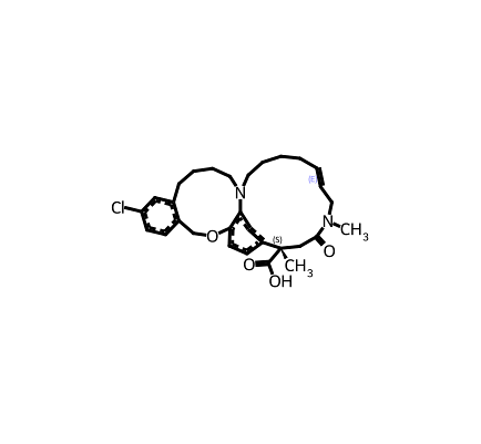 CN1C/C=C/CCCCN2CCCCc3cc(Cl)ccc3COc3ccc(cc32)[C@@](C)(C(=O)O)CC1=O